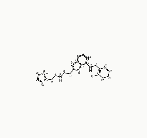 FC1=C(CNc2nccc3oc(CCNCCc4ncc[nH]4)nc23)N=CCC1